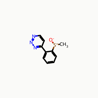 C[S+]([O-])c1ccccc1-c1ccnnn1